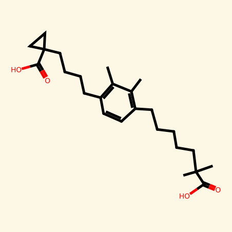 Cc1c(CCCCCC(C)(C)C(=O)O)ccc(CCCCC2(C(=O)O)CC2)c1C